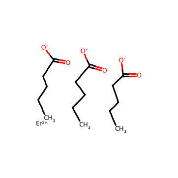 CCCCC(=O)[O-].CCCCC(=O)[O-].CCCCC(=O)[O-].[Er+3]